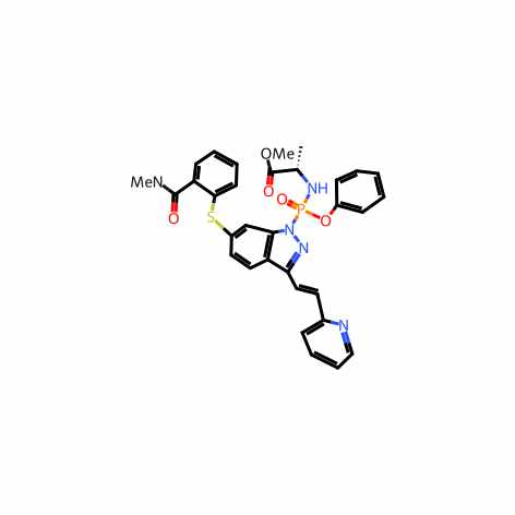 CNC(=O)c1ccccc1Sc1ccc2c(/C=C/c3ccccn3)nn(P(=O)(N[C@@H](C)C(=O)OC)Oc3ccccc3)c2c1